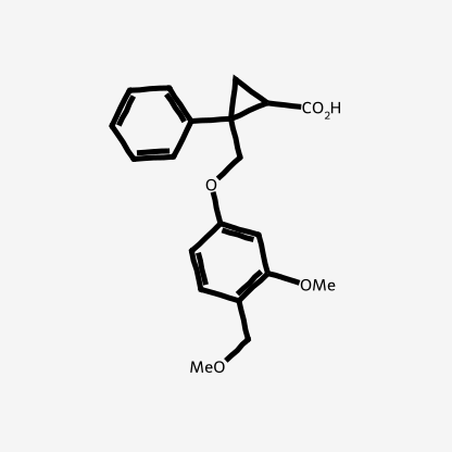 COCc1ccc(OCC2(c3ccccc3)CC2C(=O)O)cc1OC